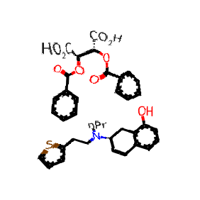 CCCN(CCc1cccs1)[C@@H]1CCc2cccc(O)c2C1.O=C(O[C@@H](C(=O)O)[C@@H](OC(=O)c1ccccc1)C(=O)O)c1ccccc1